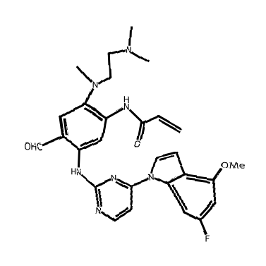 C=CC(=O)Nc1cc(Nc2nccc(-n3ccc4c(OC)cc(F)cc43)n2)c(C=O)cc1N(C)CCN(C)C